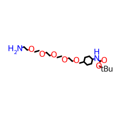 CC(C)(C)OC(=O)NC1CCC(COCCOCCOCCOCCOCCN)CC1